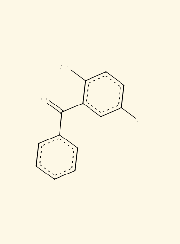 CC(=O)c1ccc(Cl)cc1C(=O)c1ccccc1